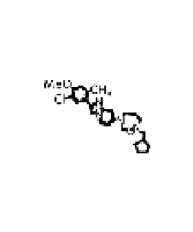 COc1cc(C)c(-c2cn3ccc(N4CCCN(CC5CCCC5)CC4)cc3n2)cc1Cl